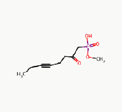 CCC#CCCC(=O)CP(=O)(O)OC